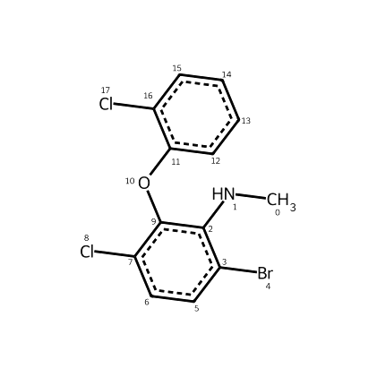 CNc1c(Br)ccc(Cl)c1Oc1ccccc1Cl